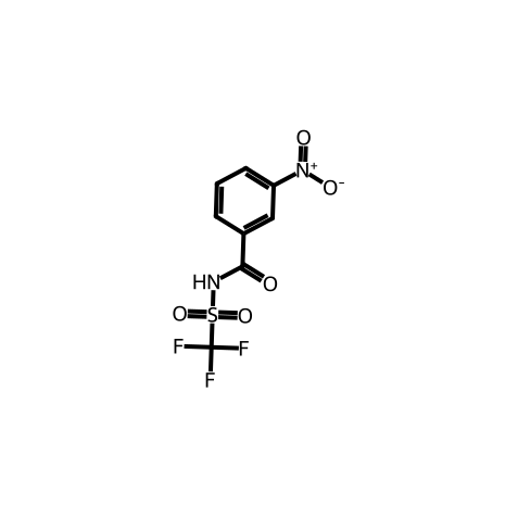 O=C(NS(=O)(=O)C(F)(F)F)c1cccc([N+](=O)[O-])c1